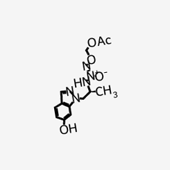 CC(=O)OCO/N=[N+](\[O-])N[C@@H](C)Cn1ncc2ccc(O)cc21